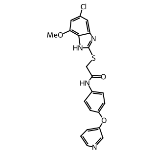 COc1cc(Cl)cc2nc(SCC(=O)Nc3ccc(Oc4cccnc4)cc3)[nH]c12